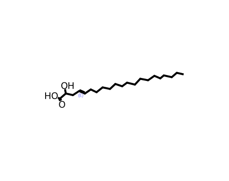 CCCCCCCCCCCCCCCC/C=C/CC(O)C(=O)O